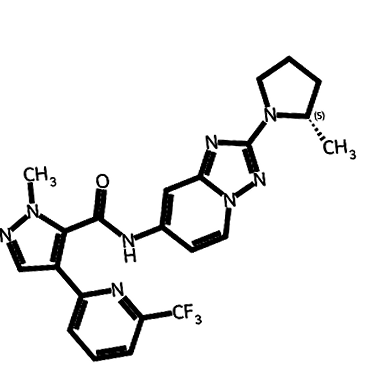 C[C@H]1CCCN1c1nc2cc(NC(=O)c3c(-c4cccc(C(F)(F)F)n4)cnn3C)ccn2n1